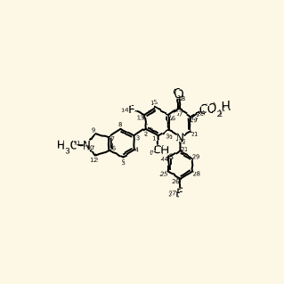 Cc1c(-c2ccc3c(c2)CN(C)C3)c(F)cc2c(=O)c(C(=O)O)cn(-c3ccc(F)cc3)c12